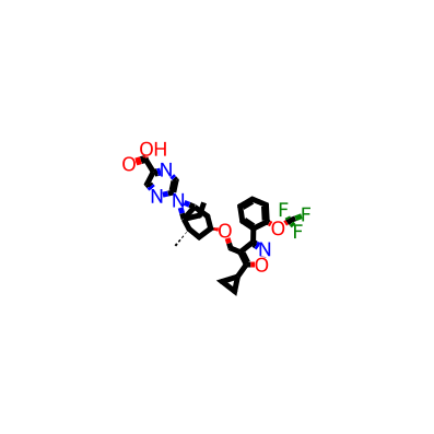 CCC12C(C[C@@H](OCc3c(-c4ccccc4OC(F)(F)F)noc3C3CC3)C[C@@H]1C)N2c1cnc(C(=O)O)cn1